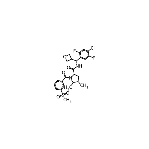 C[C@@H]1C[C@H](C(=O)N[C@@H](c2cc(F)c(Cl)cc2F)C2COC2)N(C(=O)c2cccc(S(C)(=O)=O)c2)[C@@H]1C